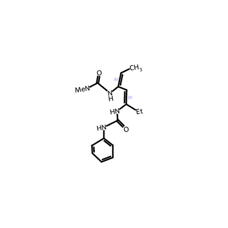 C/C=C(\C=C(\CC)NC(=O)Nc1ccccc1)NC(=O)NC